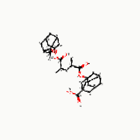 CC(CC(C)C(=O)OC12CC3CC(C1)CC(C(=O)O)(C3)C2)C(=O)OC12CC3CC(C1)C(C)(O)C(C3)C2